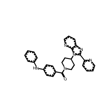 O=C(c1ccc(Nc2ccccc2)cc1)N1CCC(n2c(-c3ccccn3)nc3cccnc32)CC1